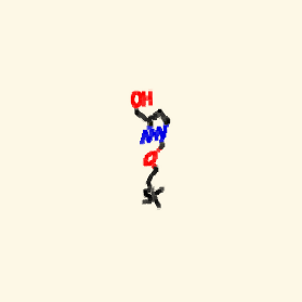 C[Si](C)(C)CCOCn1ccc(CO)n1